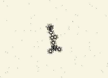 CC1(C)OB(c2ccc(-c3ccc(-c4ccc(-c5nc(-c6ccccc6)nc(-c6ccccc6)n5)cc4)c4ccccc34)cc2)OC1(C)C